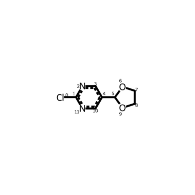 Clc1ncc(C2OCCO2)cn1